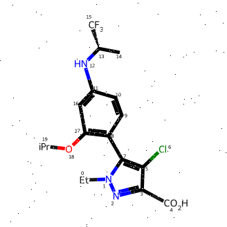 CCn1nc(C(=O)O)c(Cl)c1-c1ccc(N[C@H](C)C(F)(F)F)cc1OC(C)C